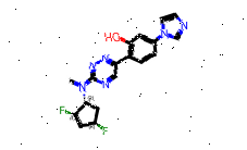 CN(c1ncc(-c2ccc(-n3ccnc3)cc2O)nn1)[C@@H]1C[C@@H](F)C[C@H]1F